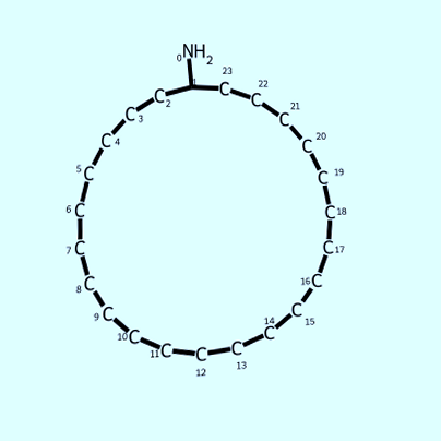 NC1CCCCCCCCCCCCCCCCCCCCCC1